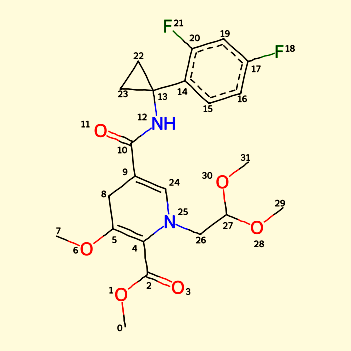 COC(=O)C1=C(OC)CC(C(=O)NC2(c3ccc(F)cc3F)CC2)=CN1CC(OC)OC